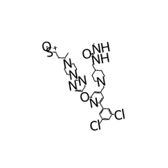 CNC(=O)NCC1CCN(Cc2cc(Oc3cnc(N4CCN(C(C)CC[S+]=O)CC4)nc3)nc(-c3cc(Cl)cc(Cl)c3)c2)CC1